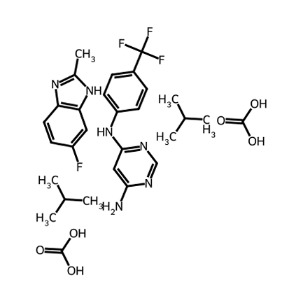 CC(C)C.CC(C)C.Cc1nc2ccc(F)cc2[nH]1.Nc1cc(Nc2ccc(C(F)(F)F)cc2)ncn1.O=C(O)O.O=C(O)O